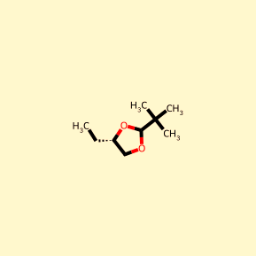 CC[C@H]1COC(C(C)(C)C)O1